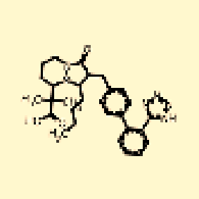 CCCCC1C(Cc2ccc(-c3ccccc3-c3nnn[nH]3)cc2)C(=O)N2CCCC(C(C)(C)C(=O)O)N12